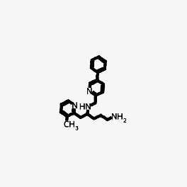 Cc1cccnc1CC(CCCN)NCc1ccc(-c2ccccc2)cn1